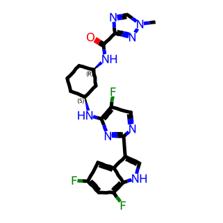 Cn1cnc(C(=O)N[C@@H]2CCC[C@H](Nc3nc(-c4c[nH]c5c(F)cc(F)cc45)ncc3F)C2)n1